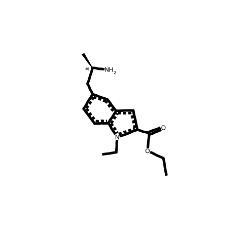 CCOC(=O)c1cc2cc(C[C@@H](C)N)ccc2n1CC